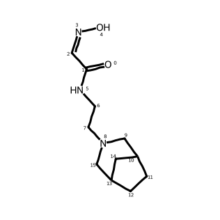 O=C(/C=N\O)NCCN1CC2CCC(C2)C1